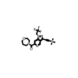 CS(C)(C)C#Cc1nn(CC(F)(F)F)c2cc(C(=O)N3CCCOCC3)ncc12